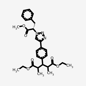 CCOC(=O)C(C)C(c1ccc(-c2cn([C@@H](Cc3ccccc3)C(=O)OC)nn2)cc1)C(C)C(=O)OCC